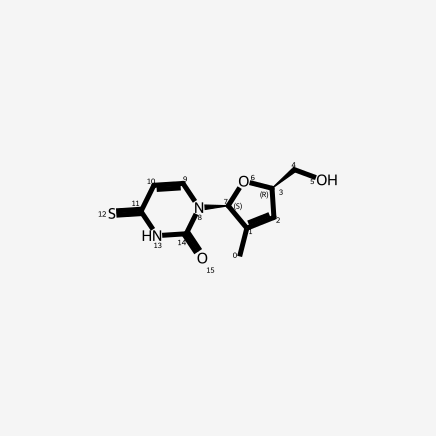 CC1=C[C@H](CO)O[C@@H]1n1ccc(=S)[nH]c1=O